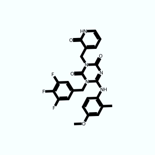 COc1ccc(Nc2nc(=O)n(Cc3ccc[nH]c3=O)c(=O)n2Cc2cc(F)c(F)c(F)c2)c(C)c1